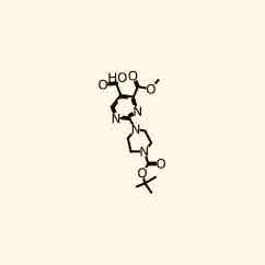 COC(=O)c1nc(N2CCN(C(=O)OC(C)(C)C)CC2)ncc1C(=O)O